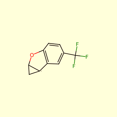 FC(F)(F)c1ccc2c(c1)[C]1CC1O2